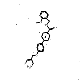 COc1ncccc1CNC(=O)C12CCC(c3ccc(OC/C(=C/F)CN)cc3)(CC1)CC2